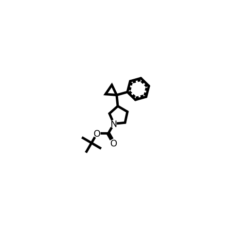 CC(C)(C)OC(=O)N1CCC(C2(c3ccccc3)CC2)C1